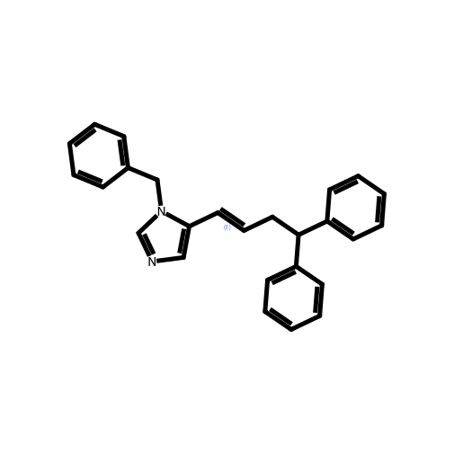 C(=C\c1cncn1Cc1ccccc1)/CC(c1ccccc1)c1ccccc1